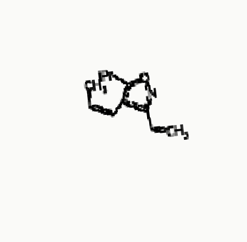 C=Cc1noc(C(C)C)c1/C=C\C